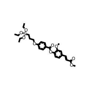 CCO[Si](CCCOc1ccc(C(=O)Oc2ccc(C=CC(=O)OC)cc2OC)cc1)(OCC)OCC